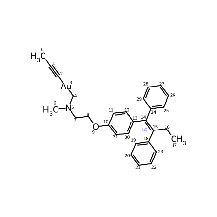 CC#[C][Au][CH2]N(C)CCOc1ccc(/C(=C(/CC)c2ccccc2)c2ccccc2)cc1